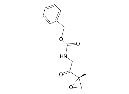 C[C@@]1(C(=O)CNC(=O)OCc2ccccc2)CO1